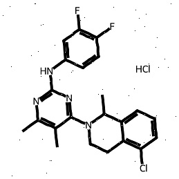 Cc1nc(Nc2ccc(F)c(F)c2)nc(N2CCc3c(Cl)cccc3C2C)c1C.Cl